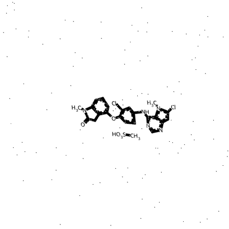 CN1C(=O)Cc2c(Oc3ccc(Nc4ncnc5cc(Cl)n(C)c45)cc3Cl)cccc21.CS(=O)(=O)O